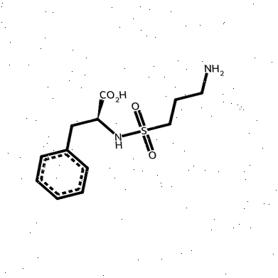 NCCCS(=O)(=O)N[C@@H](Cc1ccccc1)C(=O)O